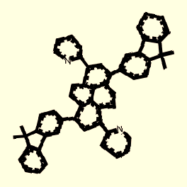 CC1(C)c2ccccc2-c2cc(-c3cc(-c4ccccn4)c4ccc5c(-c6ccc7c(c6)-c6ccccc6C7(C)C)cc(-c6ccccn6)c6ccc3c4c56)ccc21